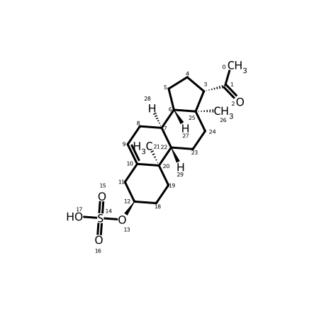 CC(=O)[C@H]1CC[C@H]2[C@@H]3CC=C4C[C@H](OS(=O)(=O)O)CC[C@]4(C)[C@H]3CC[C@]12C